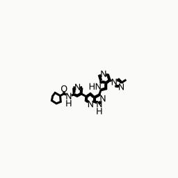 Cc1cn(-c2cncc3[nH]c(-c4n[nH]c5ncc(-c6cncc(NC(=O)C7CCCCC7)c6)cc45)cc23)cn1